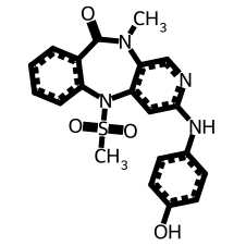 CN1C(=O)c2ccccc2N(S(C)(=O)=O)c2cc(Nc3ccc(O)cc3)ncc21